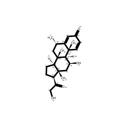 C[C@H]1C[C@@]2(C)[C@@H]3CC[C@H](C(=O)CO)[C@@]3(C)C[C@H](O)[C@@H]2[C@@]2(C)C=CC(=O)C=C12